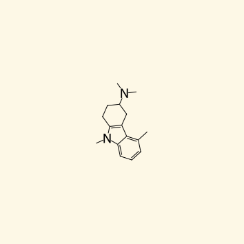 Cc1cccc2c1c1c(n2C)CCC(N(C)C)C1